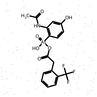 CC(=O)Nc1cc(O)ccc1[As](=O)(O)OC(=O)Cc1ccccc1C(F)(F)F